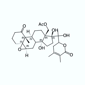 CC(=O)OC[C@]12CC[C@H]3C(C[C@H]4O[C@]45CCCC(=O)[C@]35C)[C@]1(O)CC[C@@]2(O)C(C)(O)C1CC(C)=C(C)C(=O)O1